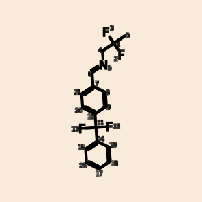 CC(F)(F)CN=Cc1ccc(C(F)(F)c2ccccc2)cc1